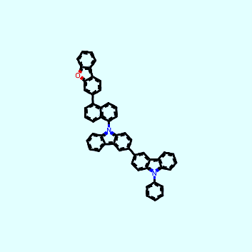 c1ccc(-n2c3ccccc3c3cc(-c4ccc5c(c4)c4ccccc4n5-c4cccc5c(-c6ccc7c(c6)oc6ccccc67)cccc45)ccc32)cc1